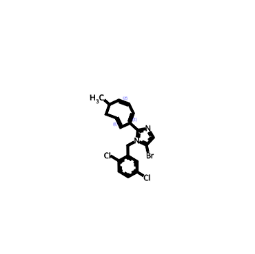 CC1\C=C/C=C(c2ncc(Br)n2Cc2cc(Cl)ccc2Cl)\C=C\C1